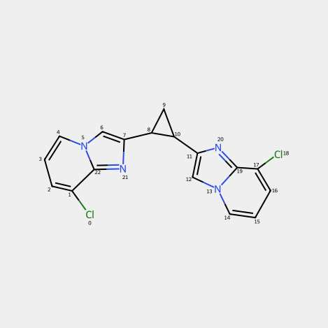 Clc1cccn2cc(C3CC3c3cn4cccc(Cl)c4n3)nc12